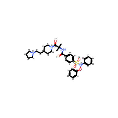 CC(C)(NC(=O)c1ccc(S(=O)(=O)N(Oc2ccccc2)c2ccccc2)cc1)C(=O)N1CCC(CCN2CCCC2)CC1